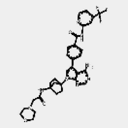 Nc1ncnc2c1c(-c1ccc(C(=O)Nc3cc(C(F)(F)F)ccn3)cc1)cn2C12CCC(NC(=O)CN3CCOCC3)(CC1)C2